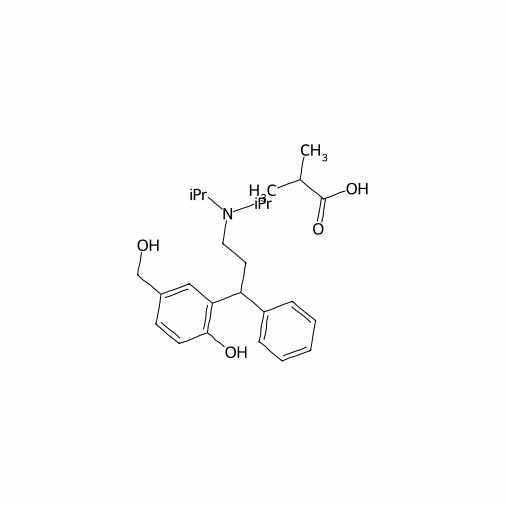 CC(C)C(=O)O.CC(C)N(CCC(c1ccccc1)c1cc(CO)ccc1O)C(C)C